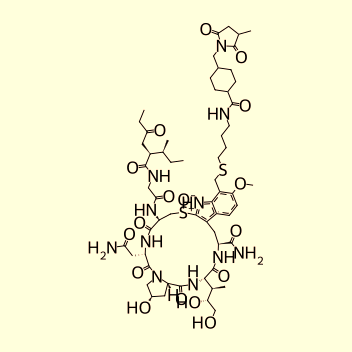 CCC(=O)C[C@H](C(=O)NCC(=O)N[C@H]1C[S+]([O-])c2[nH]c3c(CSCCCCNC(=O)C4CCC(CN5C(=O)CC(C)C5=O)CC4)c(OC)ccc3c2C[C@@H](C(N)=O)NC(=O)[C@H]([C@@H](C)[C@@H](O)CO)NC(=O)[C@@H]2C[C@@H](O)CN2C(=O)[C@H](CC(N)=O)NC1=O)[C@@H](C)CC